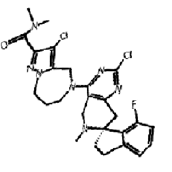 CN(C)C(=O)c1nn2c(c1Cl)CN(c1nc(Cl)nc3c1CN(C)[C@@]1(CCc4cccc(F)c41)C3)CCC2